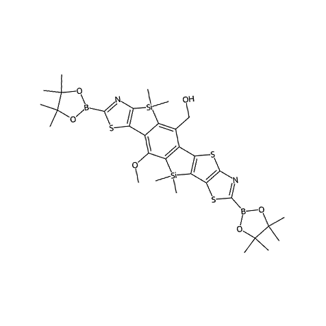 COc1c2c(c(CO)c3c1[Si](C)(C)c1c-3sc3nc(B4OC(C)(C)C(C)(C)O4)sc13)[Si](C)(C)c1nc(B3OC(C)(C)C(C)(C)O3)sc1-2